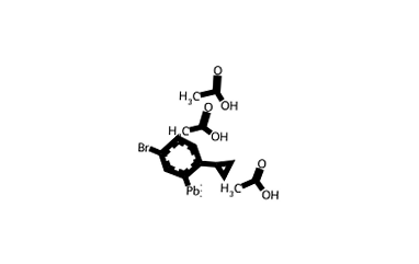 Brc1ccc(C2CC2)[c]([Pb])c1.CC(=O)O.CC(=O)O.CC(=O)O